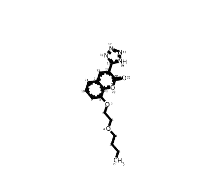 CCCCOCCOc1cccc2cc(-c3nnn[nH]3)c(=O)oc12